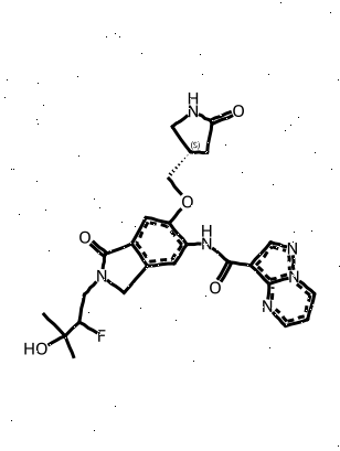 CC(C)(O)C(F)CN1Cc2cc(NC(=O)c3cnn4cccnc34)c(OC[C@@H]3CNC(=O)C3)cc2C1=O